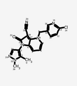 Cc1c(-n2c3cccn(Cc4ccc(Cl)nc4)c-3c(C#N)c2=O)cnn1C